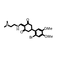 COc1cc(Br)c(C2CC(=O)C(=CNCCN(C)C)C(=O)C2)cc1OC